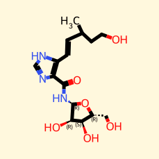 CC(C=Cc1[nH]cnc1C(=O)N[C@@H]1O[C@H](CO)[C@@H](O)[C@H]1O)CCO